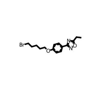 CCc1nc(-c2ccc(OCCCCCBr)cc2)no1